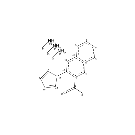 CC(=O)c1cc2ccccc2cc1C1C=CC=C1.CN.CN.CN